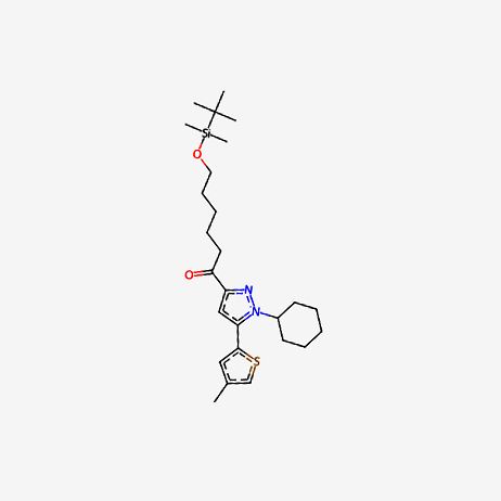 Cc1csc(-c2cc(C(=O)CCCCCO[Si](C)(C)C(C)(C)C)nn2C2CCCCC2)c1